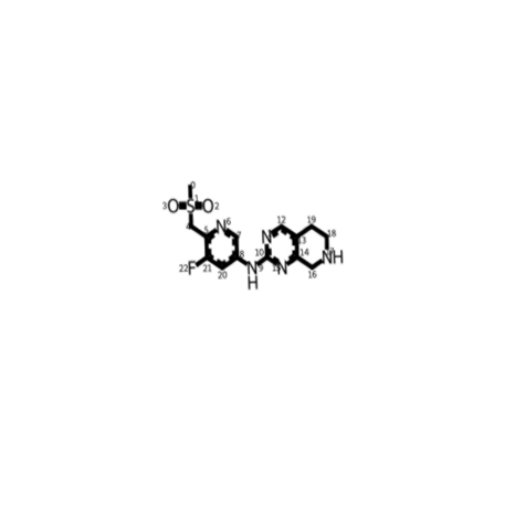 CS(=O)(=O)Cc1ncc(Nc2ncc3c(n2)CNCC3)cc1F